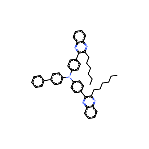 CCCCCCc1nc2ccccc2nc1-c1ccc(N(c2ccc(-c3ccccc3)cc2)c2ccc(-c3nc4ccccc4nc3CCCCCC)cc2)cc1